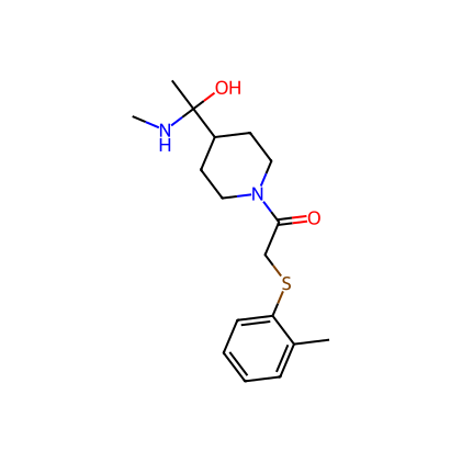 CNC(C)(O)C1CCN(C(=O)CSc2ccccc2C)CC1